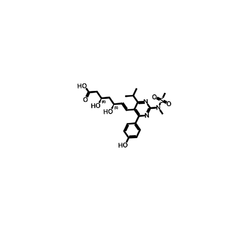 CC(C)c1nc(N(C)S(C)(=O)=O)nc(-c2ccc(O)cc2)c1C=C[C@@H](O)C[C@@H](O)CC(=O)O